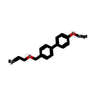 C=CCOCc1ccc(-c2ccc(OCCCCCCC)cc2)cc1